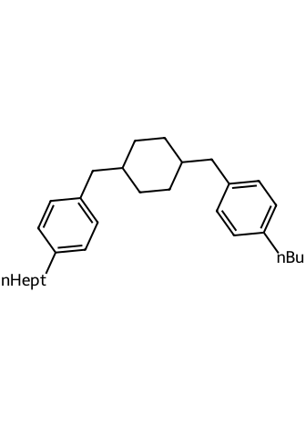 CCCCCCCc1ccc(CC2CCC(Cc3ccc(CCCC)cc3)CC2)cc1